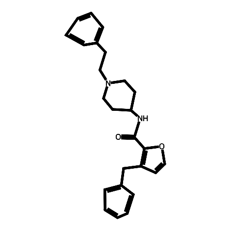 O=C(NC1CCN(CCc2ccccc2)CC1)c1occc1Cc1ccccc1